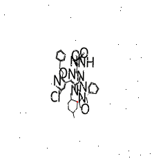 CC1CCC(Cn2c(N3CCOC[C@H]3c3ccccc3)nc3nc(-c4noc(=O)[nH]4)nc(-c4cc(Cl)cnc4OCc4ccccc4)c32)CC1